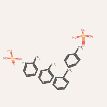 C.Cc1ccccc1.Cc1ccccc1.Cc1ccccc1.Cc1ccccc1.O=P(O)(O)O.O=P(O)(O)O